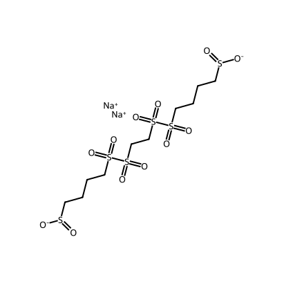 O=S([O-])CCCCS(=O)(=O)S(=O)(=O)CCS(=O)(=O)S(=O)(=O)CCCCS(=O)[O-].[Na+].[Na+]